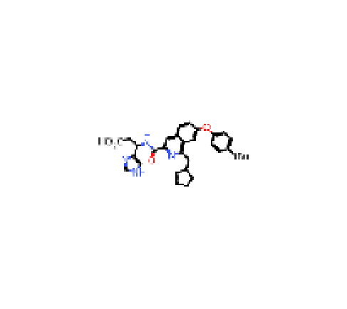 CC(C)(C)c1ccc(Oc2ccc3cc(C(=O)NC(CC(=O)O)c4c[nH]cn4)nc(CC4CCCC4)c3c2)cc1